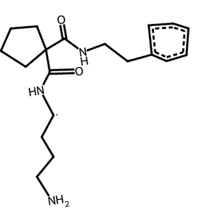 NCCC[CH]NC(=O)C1(C(=O)NCCc2ccccc2)CCCC1